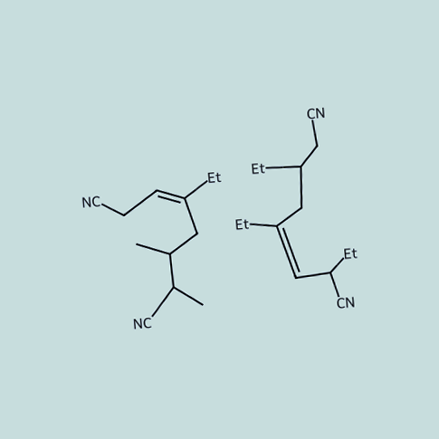 CCC(=CC(C#N)CC)CC(CC)CC#N.CCC(=CCC#N)CC(C)C(C)C#N